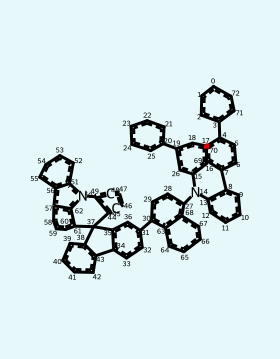 c1ccc(-c2ccc(-c3ccccc3N(c3cccc(-c4ccccc4)c3)c3ccc(-c4ccc5c(c4)C4(c6ccccc6-5)c5ccccc5-n5c6ccccc6c6cccc4c65)c4ccccc34)cc2)cc1